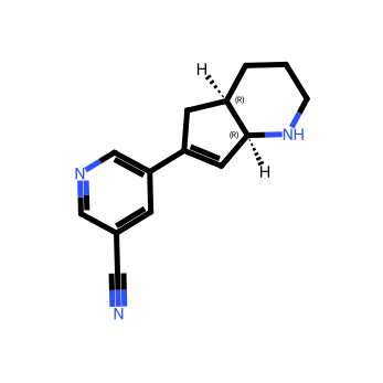 N#Cc1cncc(C2=C[C@@H]3NCCC[C@@H]3C2)c1